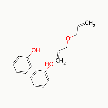 C=CCOCC=C.Oc1ccccc1.Oc1ccccc1